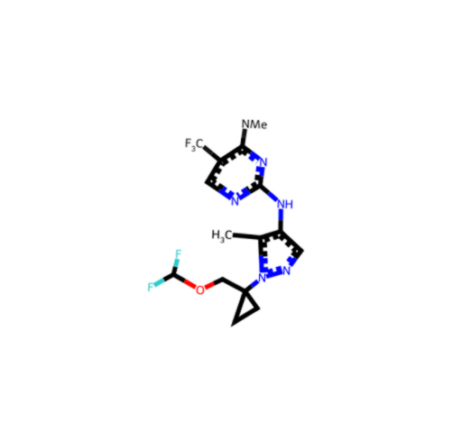 CNc1nc(Nc2cnn(C3(COC(F)F)CC3)c2C)ncc1C(F)(F)F